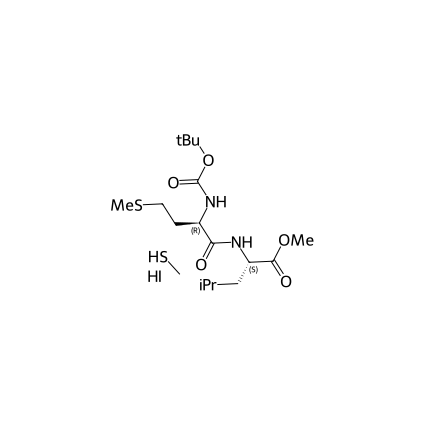 COC(=O)[C@H](CC(C)C)NC(=O)[C@@H](CCSC)NC(=O)OC(C)(C)C.CS.I